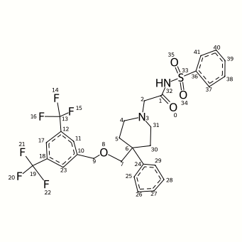 O=C(CN1CCC(COCc2cc(C(F)(F)F)cc(C(F)(F)F)c2)(c2ccccc2)CC1)NS(=O)(=O)c1ccccc1